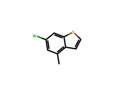 Cc1cc(Br)cc2sccc12